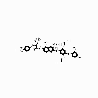 COc1ccc(/N=N/c2cc(OCCO)c(/N=N/c3c(S(=O)(=O)O)cc4c(S(=O)(=O)O)c(/N=N/C5C(=O)N(c6ccc(S(=O)(=O)O)cc6)N=C5CS(=O)(=O)O)ccc4c3O)cc2OCCO)c(S(=O)(=O)O)c1